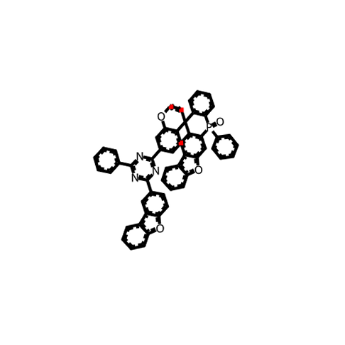 O=P1(c2ccccc2)c2ccccc2C2(c3ccccc3Oc3cc(-c4nc(-c5ccccc5)nc(-c5ccc6oc7ccccc7c6c5)n4)ccc32)c2cc3c(cc21)oc1ccccc13